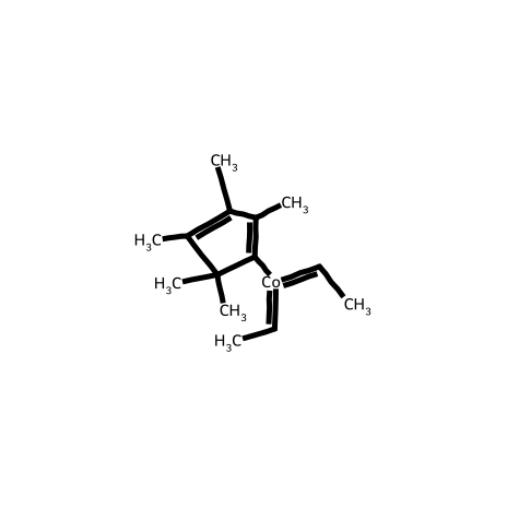 C/[CH]=[Co](=[CH]/C)/[C]1=C(C)C(C)=C(C)C1(C)C